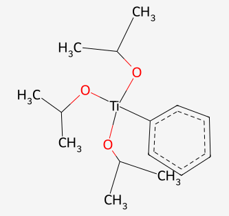 CC(C)[O][Ti]([O]C(C)C)([O]C(C)C)[c]1ccccc1